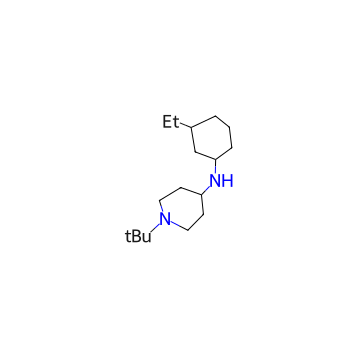 CCC1CCCC(NC2CCN(C(C)(C)C)CC2)C1